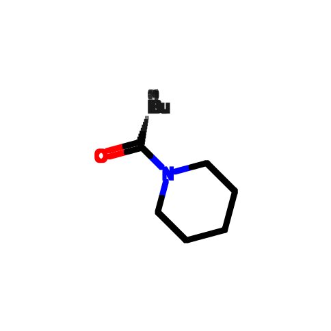 CC[C@@H](C)C(=O)N1CCCCC1